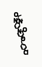 CC(=O)c1nc2ccc(-n3ccc(OCc4ccc(Cl)cc4)cc3=O)cc2n1C